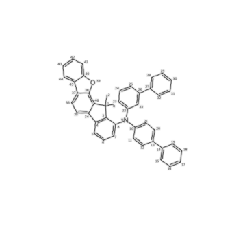 CC1(C)c2c(cccc2N(c2ccc(-c3ccccc3)cc2)c2cccc(-c3ccccc3)c2)-c2ccc3c(oc4ccccc43)c21